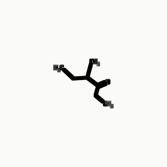 CCC(=O)C(C)CC